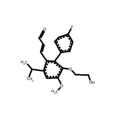 COc1cc(C(C)C)c(C=CC=O)c(-c2ccc(F)cc2)c1OCCO